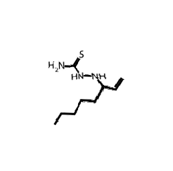 C=CC(CCCCC)NNC(N)=S